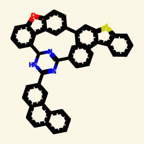 c1ccc(C2=NC(c3cccc4oc5ccc(-c6ccc7c(c6)sc6ccccc67)cc5c34)NC(c3ccc4ccc5ccccc5c4c3)=N2)cc1